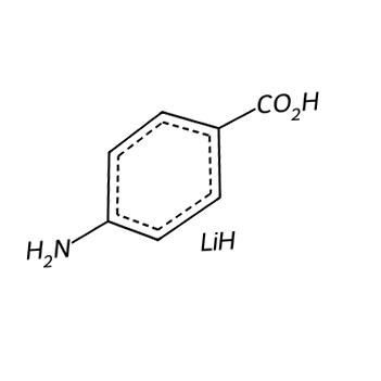 Nc1ccc(C(=O)O)cc1.[LiH]